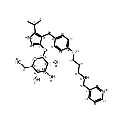 CC(C)c1[nH]nc(O[C@@H]2O[C@H](CO)[C@@H](O)[C@H](O)[C@H]2O)c1Cc1ccc(OCCCNCc2cccnc2)cc1